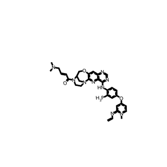 C=C/N=c1/cc(Oc2ccc(Nc3ncnc4cc5c(nc34)N3CCN(C(=O)/C=C/CN(C)C)C(CO5)C3)c(P)c2)ccn1C